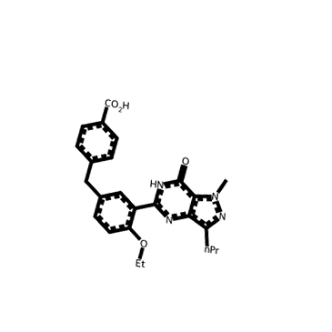 CCCc1nn(C)c2c(=O)[nH]c(-c3cc(Cc4ccc(C(=O)O)cc4)ccc3OCC)nc12